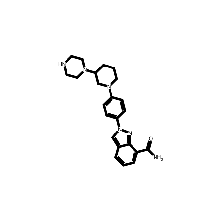 NC(=O)c1cccc2cn(-c3ccc(N4CCCC(N5CCNCC5)C4)cc3)nc12